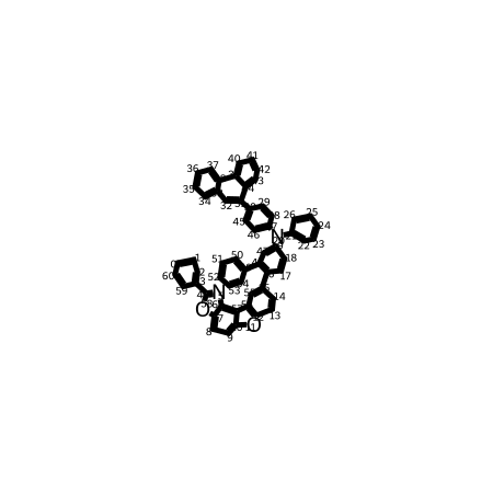 c1ccc(-c2nc3c(ccc4oc5ccc(-c6ccc(N(c7ccccc7)c7ccc(-c8cc9ccccc9c9ccccc89)cc7)cc6-c6ccccc6)cc5c43)o2)cc1